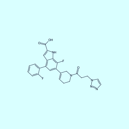 O=C(O)c1cc2c(-c3ccccc3F)cc(C3=CCCN(C(=O)CCn4ccnn4)C3)c(F)c2[nH]1